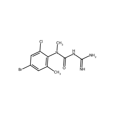 Cc1cc(Br)cc(Cl)c1N(C)C(=O)NC(=N)N